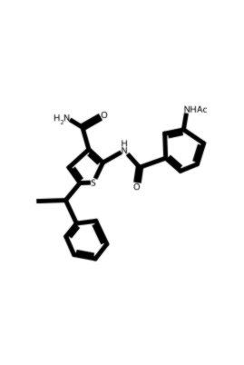 CC(=O)Nc1cccc(C(=O)Nc2sc(C(C)c3ccccc3)cc2C(N)=O)c1